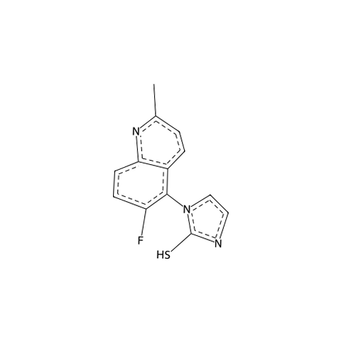 Cc1ccc2c(-n3ccnc3S)c(F)ccc2n1